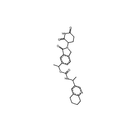 CC(NC(=O)OC(C)c1ccc2c(c1)C(=O)N(C1CCC(=O)NC1=O)C2)c1cnc2c(c1)CCCC2